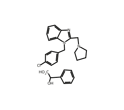 Clc1ccc(Cn2c(CN3CCCC3)nc3ccccc32)cc1.O=C(O)C(O)c1ccccc1